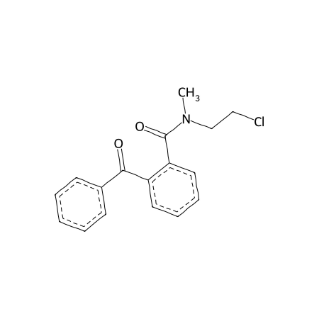 CN(CCCl)C(=O)c1ccccc1C(=O)c1ccccc1